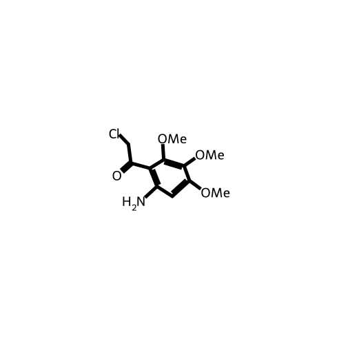 COc1cc(N)c(C(=O)CCl)c(OC)c1OC